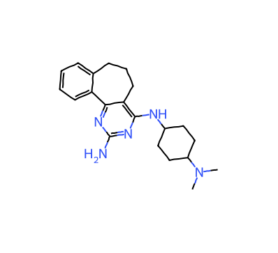 CN(C)C1CCC(Nc2nc(N)nc3c2CCCc2ccccc2-3)CC1